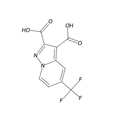 O=C(O)c1nn2ccc(C(F)(F)F)cc2c1C(=O)O